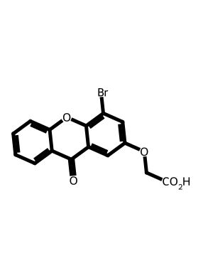 O=C(O)COc1cc(Br)c2oc3ccccc3c(=O)c2c1